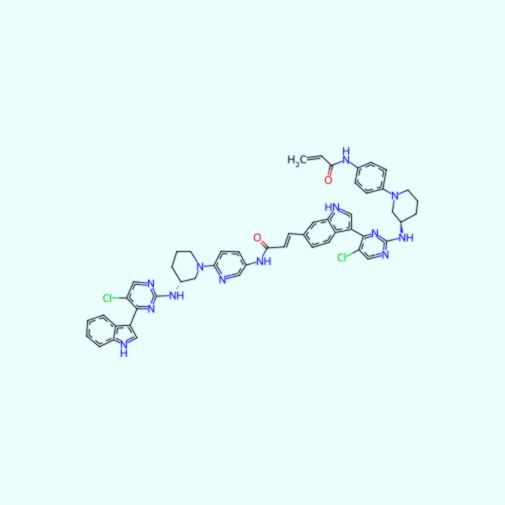 C=CC(=O)Nc1ccc(N2CCC[C@@H](Nc3ncc(Cl)c(-c4c[nH]c5cc(/C=C/C(=O)Nc6ccc(N7CCC[C@@H](Nc8ncc(Cl)c(-c9c[nH]c%10ccccc9%10)n8)C7)nc6)ccc45)n3)C2)cc1